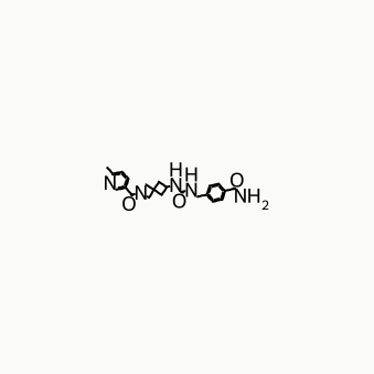 Cc1ccc(C(=O)N2CC3(CC(NC(=O)NCc4ccc(C(N)=O)cc4)C3)C2)cn1